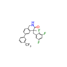 CC1(Cc2cc(F)cc(F)c2F)C(=O)NCc2ccc(-c3cccc(C(F)(F)F)c3)cc21